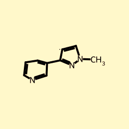 Cn1c[c]c(-c2cccnc2)n1